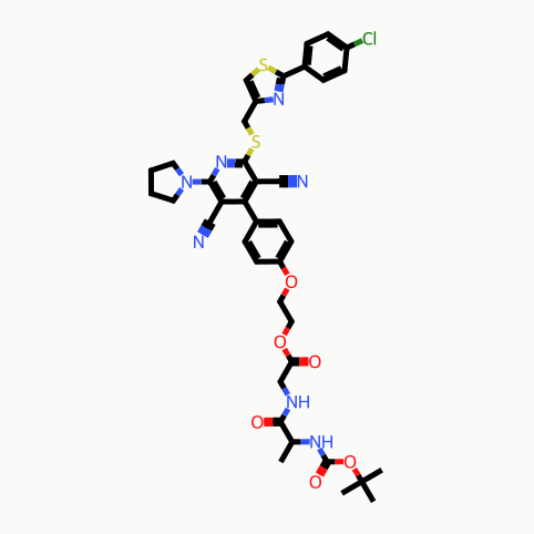 CC(NC(=O)OC(C)(C)C)C(=O)NCC(=O)OCCOc1ccc(-c2c(C#N)c(SCc3csc(-c4ccc(Cl)cc4)n3)nc(N3CCCC3)c2C#N)cc1